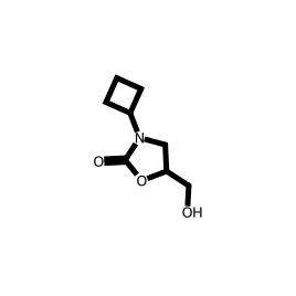 O=C1OC(CO)CN1C1CCC1